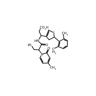 Cc1ccn(C(CC(C)C)C(=O)NC(CC(=O)O)C2=CSC(c3c(C)cccc3C)C2)c(=O)c1